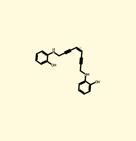 Oc1ccccc1NCC#C/C=C\C#CCNc1ccccc1O